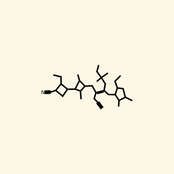 C#CC/C(CC1C(C)C(C2CC(C#N)C2CC)C1C)=C(\CC1C(CC)CC(C)C1C)CC(C)(C)CC